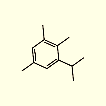 C[C](C)c1cc(C)cc(C)c1C